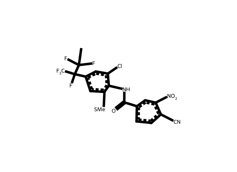 CSc1cc(C(F)(C(C)(F)F)C(F)(F)F)cc(Cl)c1NC(=O)c1ccc(C#N)c([N+](=O)[O-])c1